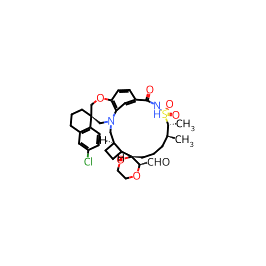 C[C@@H]1[C@@H](C)CCC[C@@]2(OCCO[C@@H]2C=O)[C@@H]2CC[C@H]2CN2C[C@@]3(CCCc4cc(Cl)ccc43)COc3ccc(cc32)C(=O)NS1(=O)=O